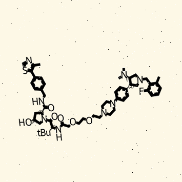 Cc1cccc(F)c1CN1C[C@H](c2ccc(N3CCN(CCOCCOCC(=O)N[C@@H](C(=O)N4C[C@H](O)C[C@H]4C(=O)NCc4ccc(-c5scnc5C)cc4)C(C)(C)C)CC3)cc2)[C@@H](N(C)C)C1